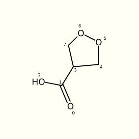 O=C(O)C1COOC1